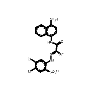 CC(=O)C(=NNc1cc(Cl)c(Cl)cc1S(=O)(=O)O)C(=O)Nc1ccc(S(=O)(=O)O)c2ccccc12